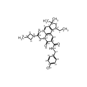 CCN1CC(C)(C)c2cnc3c(cc(C(=O)NCc4ccc(Cl)cc4)c(=O)n3CC(=O)N3CC(C)C3)c21